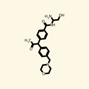 CC(=O)C(c1ccc(CN2CCOCC2)cc1)c1ccc(C(=O)NC(N)CO)cc1